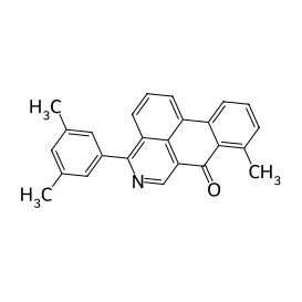 Cc1cc(C)cc(-c2ncc3c4c(cccc24)-c2cccc(C)c2C3=O)c1